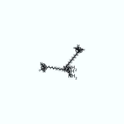 CCO[Si](CCCCCCCCCCCCC1=NC(CCCCCCCCCCCC[Si](OCC)(OCC)OCC)N(N)C(NCCN)=N1)(OCC)OCC